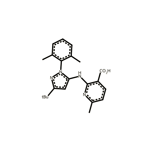 Cc1ccc(C(=O)O)c(Nc2cc(C(C)(C)C)nn2-c2c(C)cccc2C)n1